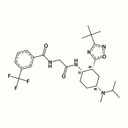 CC(C)N(C)[C@@H]1CC[C@H](NC(=O)CNC(=O)c2cccc(C(F)(F)F)c2)[C@H](c2nc(C(C)(C)C)no2)C1